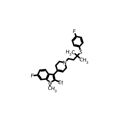 CCc1c(C2=CCN(CCC(C)(C)Sc3ccc(F)cc3)CC2)c2ccc(F)cc2n1C